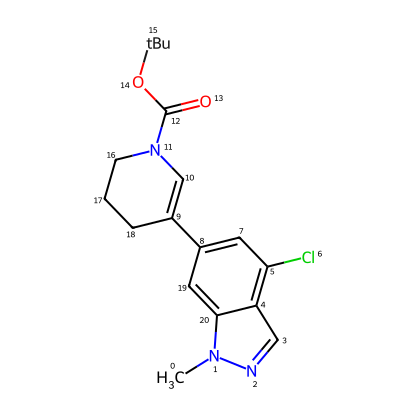 Cn1ncc2c(Cl)cc(C3=CN(C(=O)OC(C)(C)C)CCC3)cc21